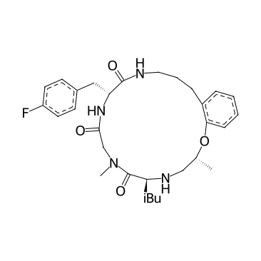 CCC(C)[C@@H]1NC[C@@H](C)Oc2ccccc2CCCNC(=O)[C@@H](Cc2ccc(F)cc2)NC(=O)CN(C)C1=O